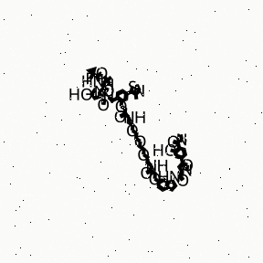 Cc1ncsc1-c1ccc(CNC(=O)[C@@H]2C[C@@H](O)CN2C(=O)C(NC(=O)C2(F)CC2)C(C)(C)C)c(OCC(=O)NCCOCCOCCOCCNC(=O)COc2ccc3c(c2)[C@H](NC(=O)c2cc(-c4ccc(C(=O)N(C)C)c(O)c4)on2)CC3)c1